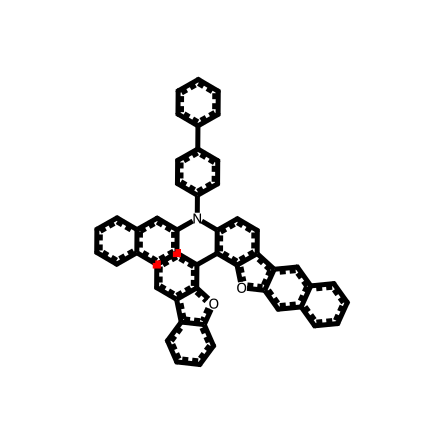 c1ccc(-c2ccc(N(c3ccc4ccccc4c3)c3ccc4c(oc5cc6ccccc6cc54)c3-c3cccc4c3oc3ccccc34)cc2)cc1